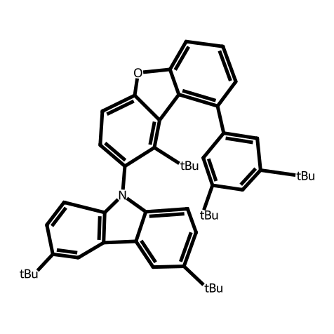 CC(C)(C)c1cc(-c2cccc3oc4ccc(-n5c6ccc(C(C)(C)C)cc6c6cc(C(C)(C)C)ccc65)c(C(C)(C)C)c4c23)cc(C(C)(C)C)c1